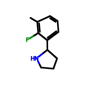 Cc1cccc(C2CCCN2)c1F